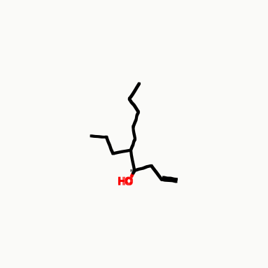 C=CC[C](O)C(CCC)CCCCC